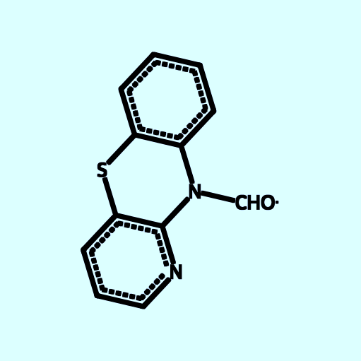 O=[C]N1c2ccccc2Sc2cccnc21